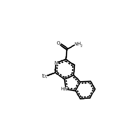 CCc1nc(C(N)=O)cc2c1[nH]c1ccccc12